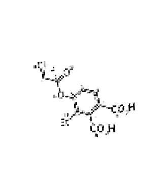 C=CC(=O)Oc1ccc(C(=O)O)c(C(=O)O)c1CC